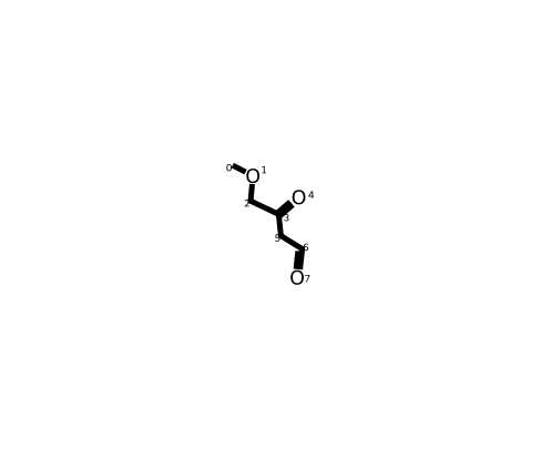 COCC(=O)CC=O